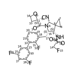 N#C[C@]1(C(=O)N2CC3(CC3)[C@H](NS(=O)(=O)CF)[C@@H]2Cc2cccc(-c3cc(F)cc(F)c3)c2F)CCO1